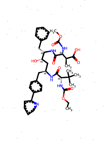 CCOC(=O)N[C@H](C(=O)N[C@@H](Cc1ccc(-c2ccccn2)cc1)C[C@H](O)[C@H](Cc1ccccc1)NC(=O)[C@@H](NC(=O)OC)C(C)C(=O)O)C(C)(C)C